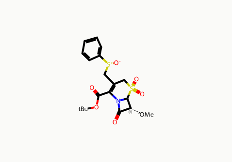 CO[C@@H]1C(=O)N2C(C(=O)OC(C)(C)C)=C(C[S+]([O-])c3ccccc3)CS(=O)(=O)C12